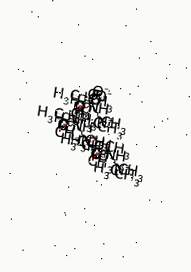 C[C@@H]1CC[C@H]2[C@@H](C)C(NCCCC[N+](C)(C)C)O[C@@H]3O[C@]4(C)CC[C@@H]1[C@]32OO4.C[C@@H]1CC[C@H]2[C@@H](C)C(NCCCC[N+](C)(C)C)O[C@@H]3O[C@]4(C)CC[C@@H]1[C@]32OO4.C[C@@H]1CC[C@H]2[C@@H](C)C(NCCCC[N+](C)(C)C)O[C@@H]3O[C@]4(C)CC[C@@H]1[C@]32OO4.O=P([O-])([O-])[O-]